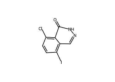 O=c1[nH]ncc2c(I)ccc(Cl)c12